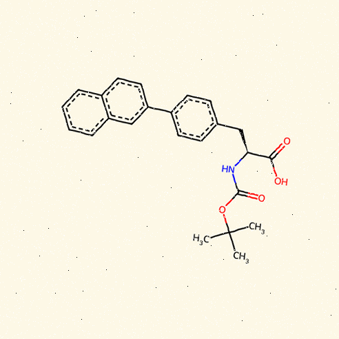 CC(C)(C)OC(=O)N[C@@H](Cc1ccc(-c2ccc3ccccc3c2)cc1)C(=O)O